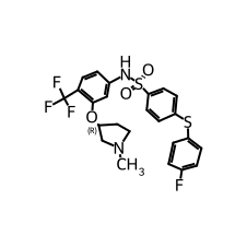 CN1CC[C@@H](Oc2cc(NS(=O)(=O)c3ccc(Sc4ccc(F)cc4)cc3)ccc2C(F)(F)F)C1